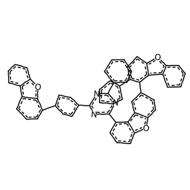 c1ccc(-c2nc(-c3ccc(-c4cccc5c4oc4ccccc45)cc3)nc(-c3cccc4oc5ccc(-c6c(-c7ccccc7)ccc7oc8ccccc8c67)cc5c34)n2)cc1